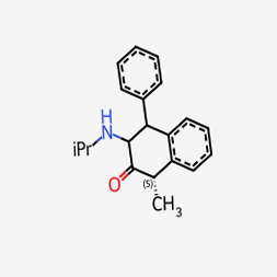 CC(C)NC1C(=O)[C@@H](C)c2ccccc2C1c1ccccc1